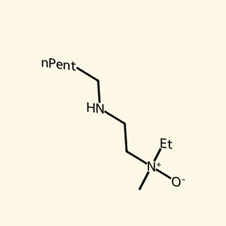 CCCCCCNCC[N+](C)([O-])CC